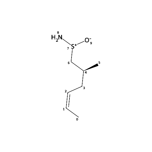 C/C=C\C[C@H](C)C[S+](N)[O-]